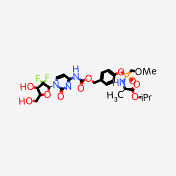 COCP(=O)(N[C@@H](C)C(=O)OC(C)C)Oc1ccc(COC(=O)Nc2ccn([C@@H]3OC(CO)C(O)C3(F)F)c(=O)n2)cc1